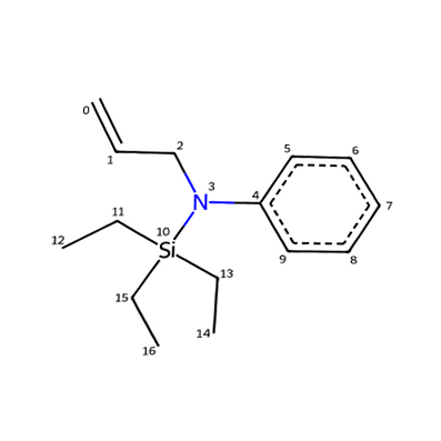 C=CCN(c1ccccc1)[Si](CC)(CC)CC